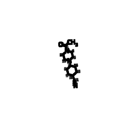 CC(=O)N1CCN([C@H]2CC[C@H](C#N)CC2)CC1